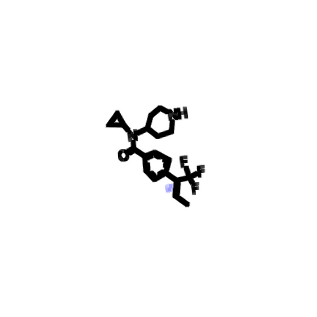 C/C=C(/c1ccc(C(=O)N(C2CCNCC2)C2CC2)cc1)C(F)(F)F